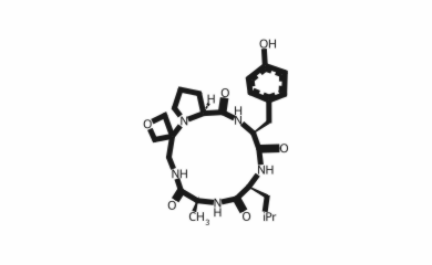 CC(C)C[C@@H]1NC(=O)[C@H](Cc2ccc(O)cc2)NC(=O)[C@@H]2CCCN2C2(CNC(=O)[C@H](C)NC1=O)COC2